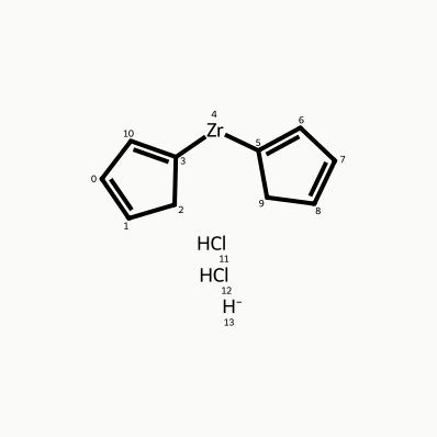 C1=CC[C]([Zr][C]2=CC=CC2)=C1.Cl.Cl.[H-]